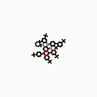 CC(C)(C)c1ccc(N(c2ccc(C(C)(C)C)cc2)c2cc3c4c(c2)N2c5c(cc(C(C)(C)C)cc5C5(C)CCCCC25C)B4c2ccc4c(c2N3c2ccc(C(C)(C)C)cc2-c2ccccc2)C(C)(C)c2ccc(C(C)(C)C)cc2-4)cc1